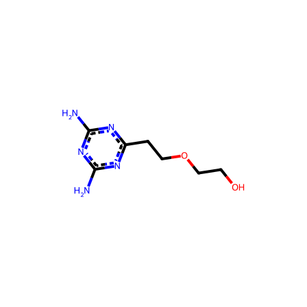 Nc1nc(N)nc(CCOCCO)n1